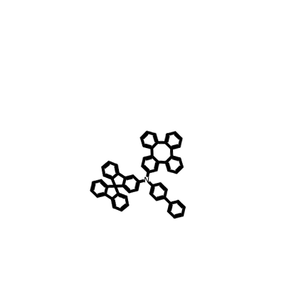 c1ccc(-c2ccc(N(c3ccc4c(c3)-c3ccccc3-c3ccccc3-c3ccccc3-4)c3ccc4c(c3)-c3ccccc3C43c4ccccc4-c4ccccc43)cc2)cc1